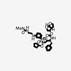 CNC(=O)NCCNc1cccc(S(=O)(=O)N(C[C@@H](O)[C@H](Cc2ccccc2)NC(=O)O[C@H]2CO[C@H]3OCC[C@H]32)OC2CCCC2)c1